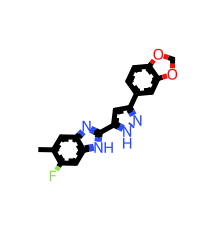 Cc1cc2nc(-c3cc(-c4ccc5c(c4)OCO5)n[nH]3)[nH]c2cc1F